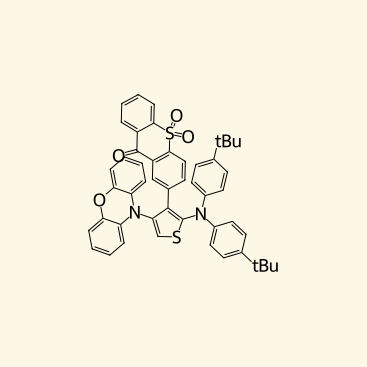 CC(C)(C)c1ccc(N(c2ccc(C(C)(C)C)cc2)c2scc(N3c4ccccc4Oc4ccccc43)c2-c2ccc3c(c2)C(=O)c2ccccc2S3(=O)=O)cc1